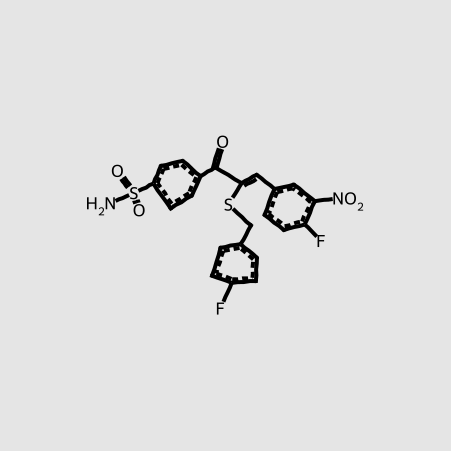 NS(=O)(=O)c1ccc(C(=O)C(=Cc2ccc(F)c([N+](=O)[O-])c2)SCc2ccc(F)cc2)cc1